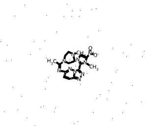 CC(=Nc1ccc2nnc(-c3ncc([N+](=O)[O-])n3C)n2n1)N1CCN(C)CC1